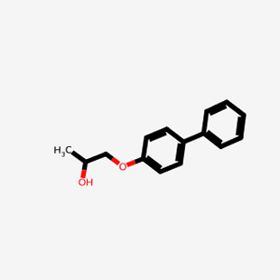 CC(O)COc1ccc(-c2ccccc2)cc1